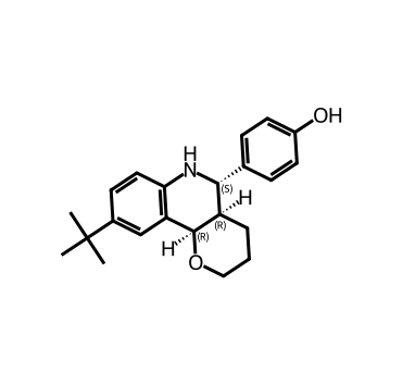 CC(C)(C)c1ccc2c(c1)[C@@H]1OCCC[C@@H]1[C@@H](c1ccc(O)cc1)N2